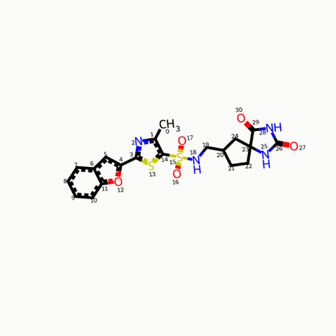 Cc1nc(-c2cc3ccccc3o2)sc1S(=O)(=O)NCC1CCC2(C1)NC(=O)NC2=O